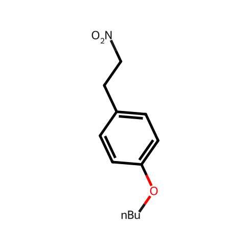 CCCCOc1ccc(CC[N+](=O)[O-])cc1